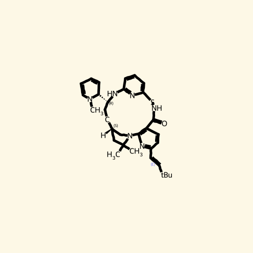 CN1C=CC=CC1[C@H]1CC[C@@H]2CN(c3nc(/C=C/C(C)(C)C)ccc3C(=O)NSc3cccc(n3)N1)C(C)(C)C2